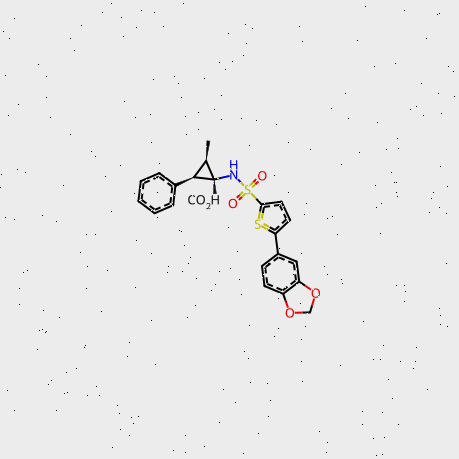 C[C@@H]1[C@H](c2ccccc2)[C@]1(NS(=O)(=O)c1ccc(-c2ccc3c(c2)OCO3)s1)C(=O)O